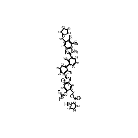 Cc1c(-c2nc3cc(COC(=O)[C@@H]4CCCN4)c(OC(F)F)cc3o2)cccc1-c1cccc(-c2nc3cc(CN4CCCC4)c(F)c(F)c3n2C)c1C